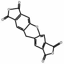 O=C1OC(=O)c2cc3c(cc21)Cc1cc2c(cc1O3)C(=O)OC2=O